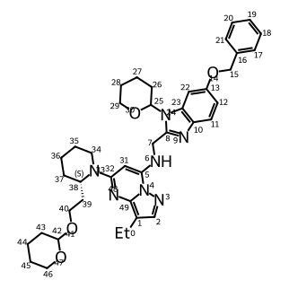 CCc1cnn2c(NCc3nc4ccc(OCc5ccccc5)cc4n3C3CCCCO3)cc(N3CCCC[C@H]3CCOC3CCCCO3)nc12